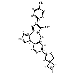 N#Cc1ccc(-c2cc3n(c2Cl)Cc2cc(N4CCC5(CNC5)C4)ccc2-n2cnnc2-3)cc1